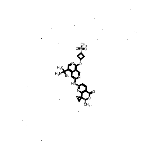 CCC(C)(N)c1cnc(O[C@H]2C[C@@H](S(C)(=O)=O)C2)c2cnc(Nc3ccc4c(n3)C3(CC3)[C@H](C)OC4=O)cc12